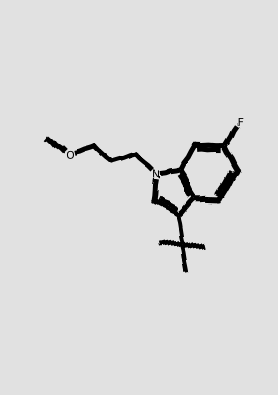 COCCCn1cc(C(C)(C)C)c2ccc(F)cc21